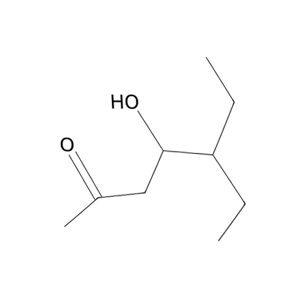 CCC(CC)C(O)CC(C)=O